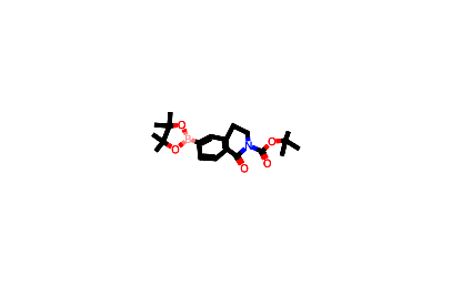 CC(C)(C)OC(=O)N1CCc2cc(B3OC(C)(C)C(C)(C)O3)ccc2C1=O